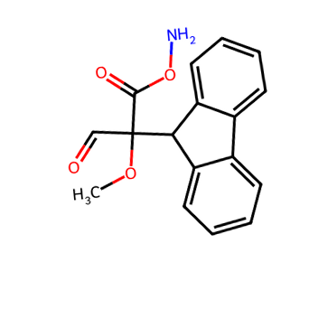 COC(C=O)(C(=O)ON)C1c2ccccc2-c2ccccc21